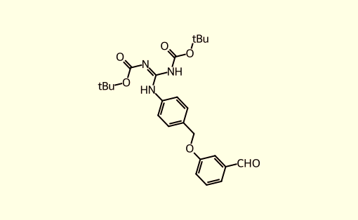 CC(C)(C)OC(=O)N=C(NC(=O)OC(C)(C)C)Nc1ccc(COc2cccc(C=O)c2)cc1